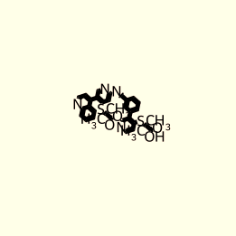 CC(C)(Sc1ccnc(OC(=O)C(C)(C)Sc2ccncc2-c2ccnc3ccccc23)c1-c1cccc(C#N)c1)C(=O)O